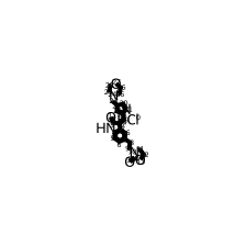 Cl.O=C1Nc2ccc(CCN3CCOC3=O)cc2/C1=C/C1=CC(CN2CCOCC2)C=N1